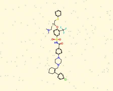 CN(C)CC[C@H](CSc1ccccc1)Oc1ccc(S(=O)(=O)NC(=O)c2ccc(N3CCN(CC4=C(c5ccc(Cl)cc5)CCCC4)CC3)cc2)cc1C(F)(F)F